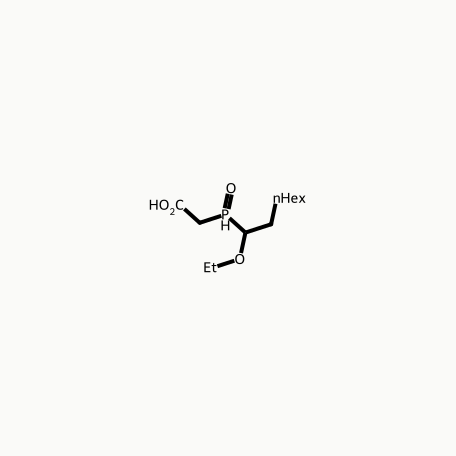 CCCCCCCC(OCC)[PH](=O)CC(=O)O